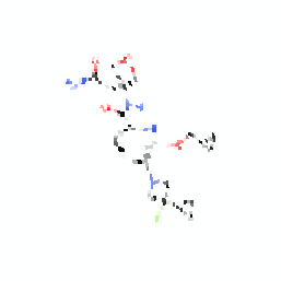 NC(=O)CC1(NC(=O)c2ccc(N3CC(F)(C4CC4)C3)c(OCC3CC3)n2)COC1